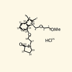 COCCOCn1c(C)c(C)c2ccnc(OCCN3CCCC3=O)c21.Cl